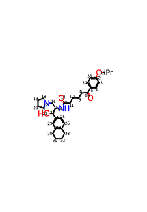 CC(C)Oc1ccc(C(=O)CCCCC(=O)N[C@H](CN2CCCC2)[C@H](O)c2ccc3c(c2)CCCC3)cc1